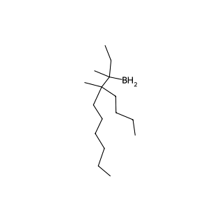 BC(C)(CC)C(C)(CCCC)CCCCCC